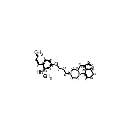 C=C/C=C\c1ccc(OCCCN2CCN3C4=CCCc5scc(c54)CC3C2)cc1NC